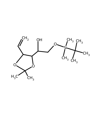 C=CC1OC(C)(C)OC1C(O)CO[Si](C)(C)C(C)(C)C